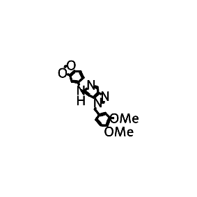 COc1ccc(Cn2cnc3cnc(Nc4ccc5c(c4)OCO5)cc32)cc1OC